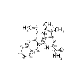 C=CCn1c(C)c(C)c2cc(C(N)=O)nc(N3CCc4ccccc4C3)c21